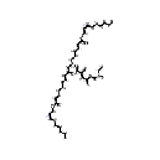 CCCCCC/C=C\COC(=O)CCCCCCCC(CCCCCCCC(=O)OC/C=C\CCCCCC)OC(=O)C(C)CC(C)CCN(C)CC